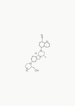 C[C@@H]1CN(c2ccc(C#N)c3ncccc23)C[C@@H]2c3ccc(N4CCNC[C@@H]4CO)cc3CN12